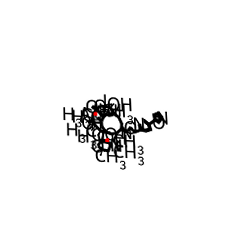 CC(=O)/N=C1\[C@H](C)C[C@@]2(C)OC/C(=N/OCc3ccc(-c4ccno4)cn3)CC[C@@H]([C@H](O)[C@@H](I)OC(=O)[C@H](C)C(=O)[C@H](C)[C@H]2O[C@@H]2O[C@H](C)C[C@H](N(C)C)[C@H]2O)[C@H]1C